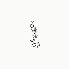 Cc1cc(N(C)C)ccc1CNCC(NC(=O)CNC(=O)c1cccc(C(F)(F)F)c1)(C(N)=O)C(C)(C)C